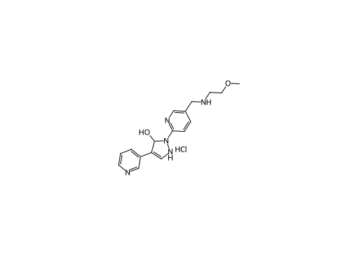 COCCNCc1ccc(N2NC=C(c3cccnc3)C2O)nc1.Cl